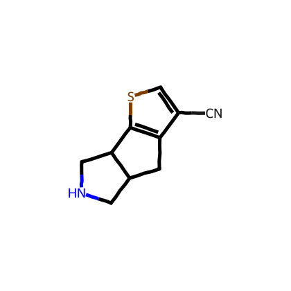 N#Cc1csc2c1CC1CNCC21